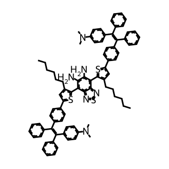 CCCCCCc1cc(-c2ccc(C(=C(c3ccccc3)c3ccc(N(C)C)cc3)c3ccccc3)cc2)sc1-c1c(N)c(N)c(-c2sc(-c3ccc(C(=C(c4ccccc4)c4ccc(N(C)C)cc4)c4ccccc4)cc3)cc2CCCCCC)c2nsnc12